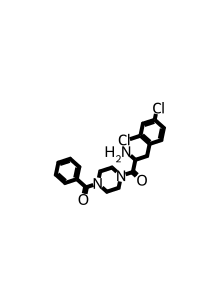 NC(Cc1ccc(Cl)cc1Cl)C(=O)N1CCN(C(=O)c2ccccc2)CC1